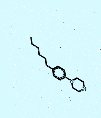 CCCCCCc1ccc(N2CC[N]CC2)cc1